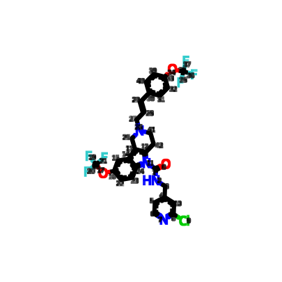 O=C(NCc1ccnc(Cl)c1)n1c2c(c3cc(OC(F)(F)F)ccc31)CN(CC=Cc1ccc(OC(F)(F)F)cc1)CC2